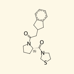 O=C([C@@H]1CCCN1C(=O)CC1Cc2ccccc2C1)N1CCSC1